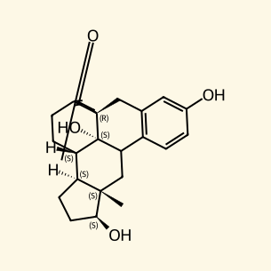 C[C@]12CC3c4ccc(O)cc4C[C@]45CCC(=O)C=C4CC[C@@H]([C@@H]1CC[C@@H]2O)[C@]35O